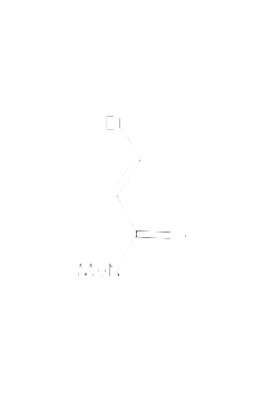 [CH2]C/C=C/C(=O)NC